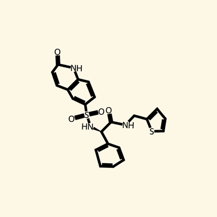 O=C(NCc1cccs1)[C@H](NS(=O)(=O)c1ccc2[nH]c(=O)ccc2c1)c1ccccc1